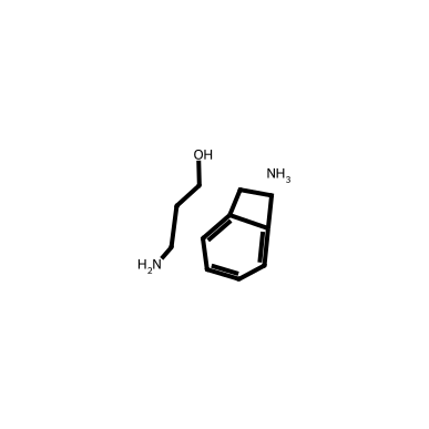 N.NCCCO.c1ccc2c(c1)CC2